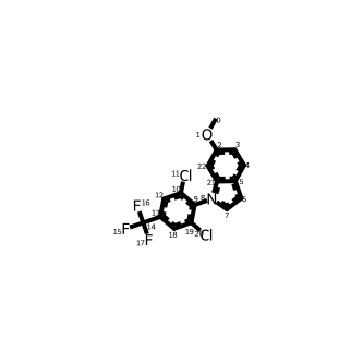 COc1ccc2ccn(-c3c(Cl)cc(C(F)(F)F)cc3Cl)c2c1